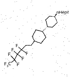 CCCCCCC[C@H]1CC[C@H](C2CCC(CCC(F)(F)C(F)(F)C(F)(F)C(F)(F)F)CC2)CC1